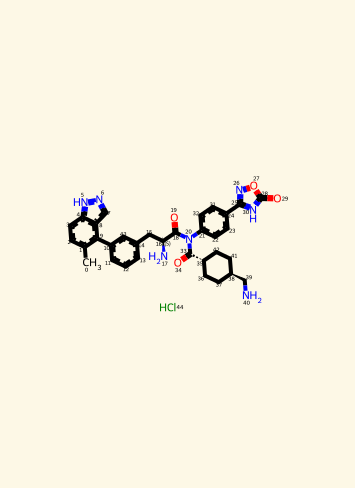 Cc1ccc2[nH]ncc2c1-c1cccc(C[C@H](N)C(=O)N(c2ccc(-c3noc(=O)[nH]3)cc2)C(=O)[C@H]2CC[C@H](CN)CC2)c1.Cl